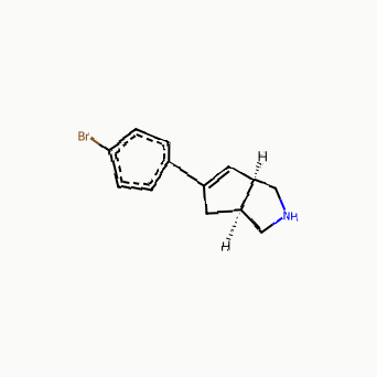 Brc1ccc(C2=C[C@H]3CNC[C@H]3C2)cc1